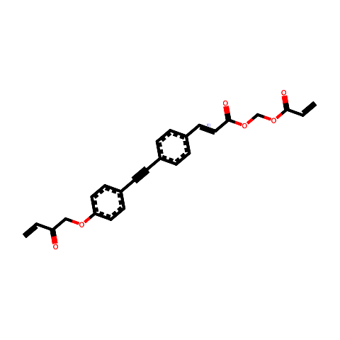 C=CC(=O)COc1ccc(C#Cc2ccc(/C=C/C(=O)OCOC(=O)C=C)cc2)cc1